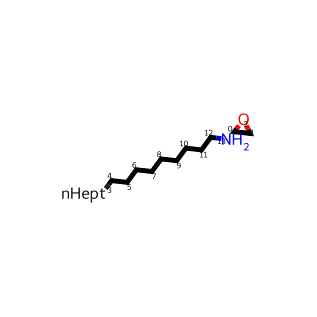 C1CO1.CCCCCCCCCCCCCCCCN